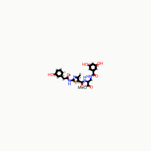 COC(=O)C(CNC(=O)c1cc(O)cc(O)c1)NC(=O)c1sc(NC(=O)Cc2cccc(O)c2)nc1C